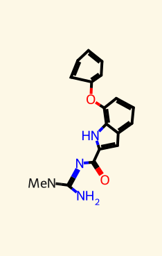 CNC(N)=NC(=O)c1cc2cccc(Oc3ccccc3)c2[nH]1